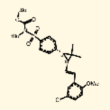 COc1ccc(Cl)cc1C=C[C@H]1[C@H](c2ccc(S(=O)(=O)N(C(=O)OC(C)(C)C)C(C)(C)C)cc2)C1(C)C